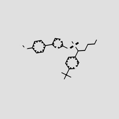 CCCCC(c1ccc(C(F)(F)F)nc1)S(C)(=O)=Nc1nc(-c2ccc(OC)cc2)cs1